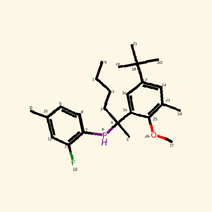 CCCCC(C)(Pc1ccc(C)cc1F)c1cc(C(C)(C)C)cc(C)c1OC